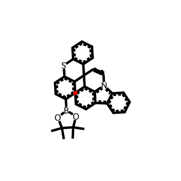 CC1(C)OB(c2ccc3c(c2)C2(c4ccccc4S3)c3ccccc3-n3c4ccccc4c4cccc2c43)OC1(C)C